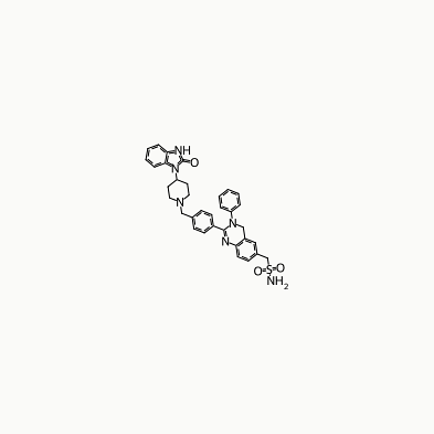 NS(=O)(=O)Cc1ccc2c(c1)CN(c1ccccc1)C(c1ccc(CN3CCC(n4c(=O)[nH]c5ccccc54)CC3)cc1)=N2